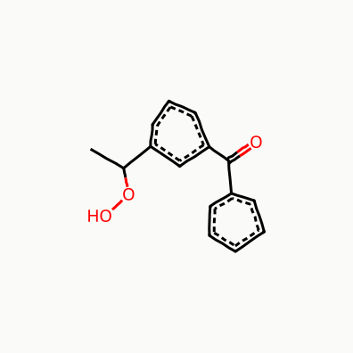 CC(OO)c1cccc(C(=O)c2ccccc2)c1